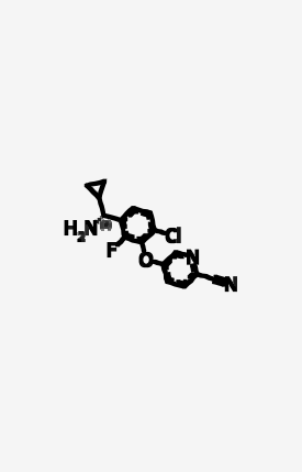 N#Cc1ccc(Oc2c(Cl)ccc([C@H](N)C3CC3)c2F)cn1